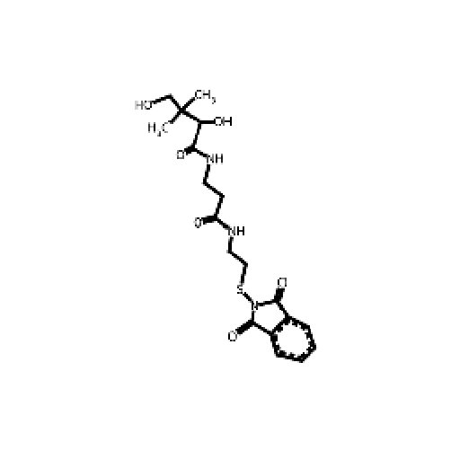 CC(C)(CO)C(O)C(=O)NCCC(=O)NCCSN1C(=O)c2ccccc2C1=O